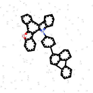 c1ccc2c(c1)-c1cccc3c(-c4ccc(-n5c6ccccc6c6c7ccccc7c7oc8ccccc8c7c65)cc4)ccc-2c13